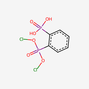 O=P(O)(O)c1ccccc1P(=O)(OCl)OCl